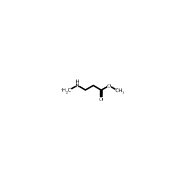 [CH2]NCCC(=O)OC